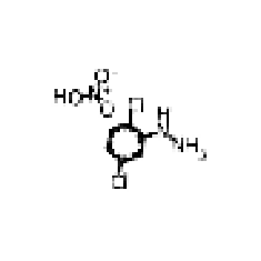 NNc1cc(Cl)ccc1Cl.O=[N+]([O-])O